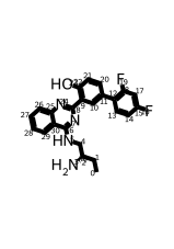 CC[C@@H](N)CNc1nc(-c2cc(-c3ccc(F)cc3F)ccc2O)nc2ccccc12